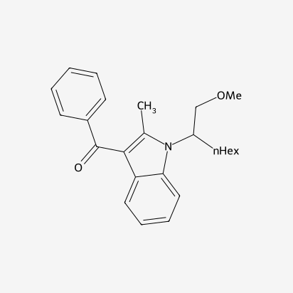 CCCCCCC(COC)n1c(C)c(C(=O)c2ccccc2)c2ccccc21